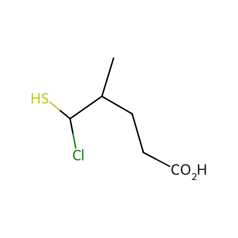 CC(CCC(=O)O)C(S)Cl